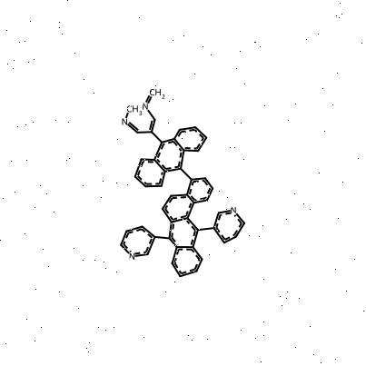 C=N/C=C(\C=N/C)c1c2ccccc2c(-c2cccc3c2ccc2c(-c4cccnc4)c4ccccc4c(-c4cccnc4)c23)c2ccccc12